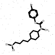 CCN(CC)CCCCC1CCC(N(C)C(=O)Oc2ccc(Br)cc2)CC1